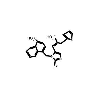 CCCc1ncc(C=C(Cc2cccs2)C(=O)O)n1Cc1ccc(C(=O)O)c2ccccc12